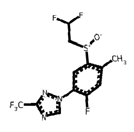 Cc1cc(F)c(-n2cnc(C(F)(F)F)n2)cc1[S+]([O-])CC(F)F